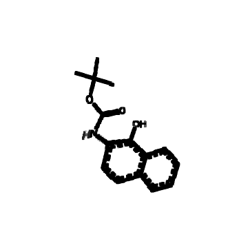 CC(C)(C)OC(=O)Nc1ccc2ccccc2c1O